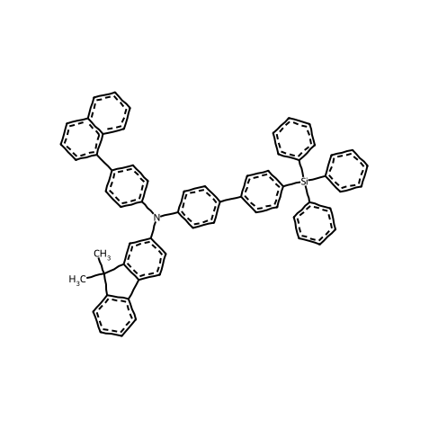 CC1(C)c2ccccc2-c2ccc(N(c3ccc(-c4ccc([Si](c5ccccc5)(c5ccccc5)c5ccccc5)cc4)cc3)c3ccc(-c4cccc5ccccc45)cc3)cc21